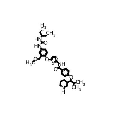 CCC(CC)NC(=O)Nc1ccc(Oc2cnc(NC(=O)c3ccc(OC(C(C)C)C4CCCNC4)cc3)s2)c(COC)c1